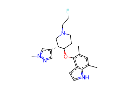 Cc1cc(C)c2[nH]ccc2c1O[C@@H]1CCN(CCF)C[C@H]1c1cnn(C)c1